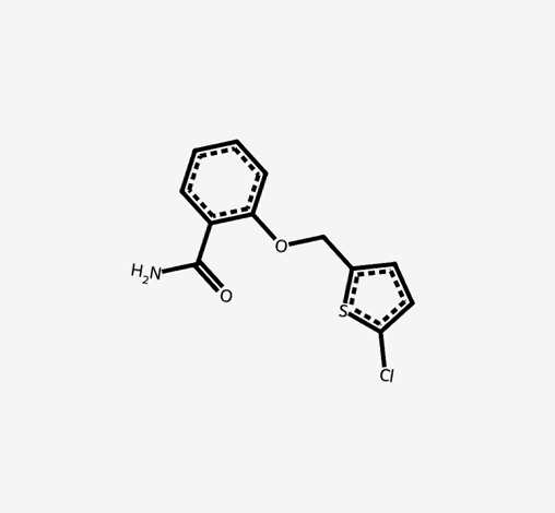 NC(=O)c1ccccc1OCc1ccc(Cl)s1